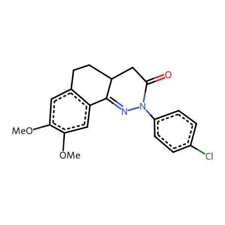 COc1cc2c(cc1OC)C1=NN(c3ccc(Cl)cc3)C(=O)CC1CC2